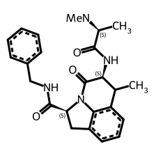 CN[C@@H](C)C(=O)N[C@@H]1C(=O)N2c3c(cccc3C1C)C[C@H]2C(=O)NCc1ccccc1